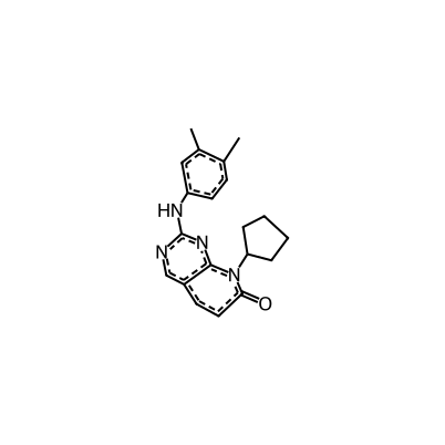 Cc1ccc(Nc2ncc3ccc(=O)n(C4CCCC4)c3n2)cc1C